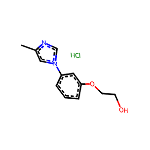 Cc1cn(-c2cccc(OCCO)c2)cn1.Cl